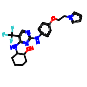 OC1CCCCC1Nc1nc(Nc2ccc(OCCn3cccc3)cc2)ncc1C(F)(F)F